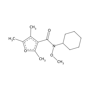 CON(C(=O)c1c(C)oc(C)c1C)C1CCCCC1